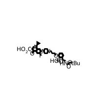 CC(C)(C)OC(=O)NCC1OB(O)c2c(OCCCN3CCN(c4cc5c(cc4F)c(=O)c(C(=O)O)cn5C4CC4)CC3)cccc21